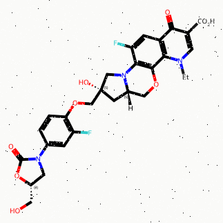 CCn1cc(C(=O)O)c(=O)c2cc(F)c3c(c21)OC[C@@H]1C[C@@](O)(COc2ccc(N4C[C@H](CO)OC4=O)cc2F)CN31